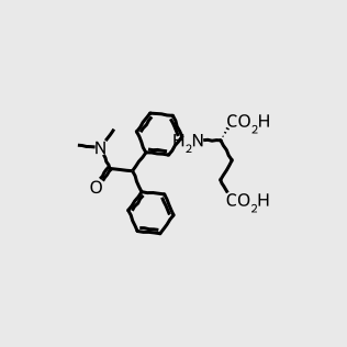 CN(C)C(=O)C(c1ccccc1)c1ccccc1.N[C@@H](CCC(=O)O)C(=O)O